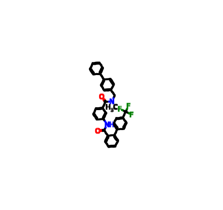 CN(Cc1ccc(-c2ccccc2)cc1)C(=O)c1cccc(NC(=O)c2ccccc2-c2ccc(C(F)(F)F)cc2)c1